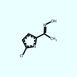 CC(=NO)c1ccc(Cl)s1